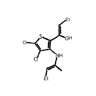 CCC=C(C)Nc1c(C(O)=CCC)sc(Cl)c1Cl